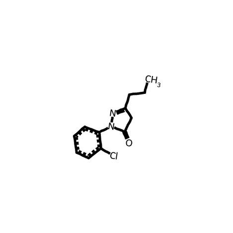 CCCC1=NN(c2ccccc2Cl)C(=O)C1